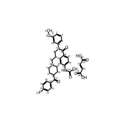 COc1cccc(N(CCCN2CCC(C(=O)c3ccc(F)cc3)CC2)C(=O)c2ccc(NC(C)=O)cc2)c1.O=C(O)C=CC(=O)O